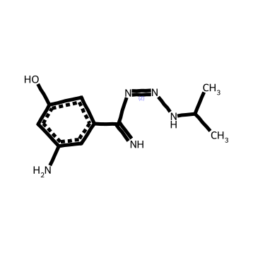 CC(C)N/N=N\C(=N)c1cc(N)cc(O)c1